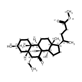 CC[C@H]1C(=O)[C@@H]2[C@H](CC[C@]3(C)[C@@H](C(C)CCC(=O)OC)CC[C@@H]23)[C@@]2(C)CC[C@H](O)C[C@@H]12